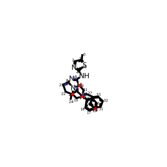 Cc1cnc(NC2=N/C(N3CCN(c4ccncc4)CC3)=C/CC(C)C(/C=C/c3ccccc3)=N\2)s1